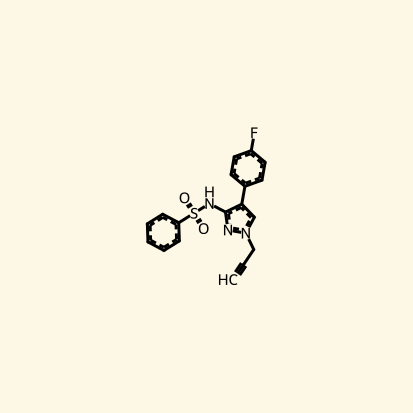 C#CCn1cc(-c2ccc(F)cc2)c(NS(=O)(=O)c2ccccc2)n1